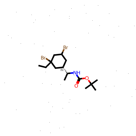 CCC1(Br)CC(Br)C[C@H](C(C)NC(=O)OC(C)(C)C)C1